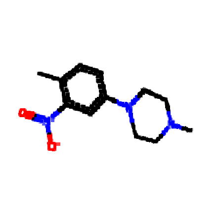 Cc1ccc(N2CCN(C)CC2)cc1[N+](=O)[O-]